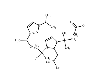 CC(=O)[O-].CC(C)(C)N1C=CN(C(C)(C)C)C1CC(=O)O.CC(C)n1cc[n+](C(C)C)c1